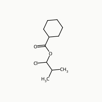 CC(C)C(Cl)OC(=O)C1CCCCC1